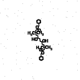 CC(C)(CCC(O)CCC(O)CCC(C)(C)CC(=O)OCc1ccccc1)CC(=O)OCc1ccccc1